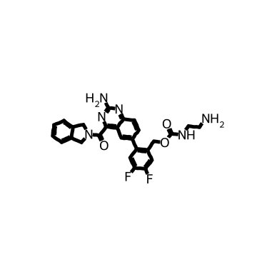 NCCNC(=O)OCc1cc(F)c(F)cc1-c1ccc2nc(N)nc(C(=O)N3Cc4ccccc4C3)c2c1